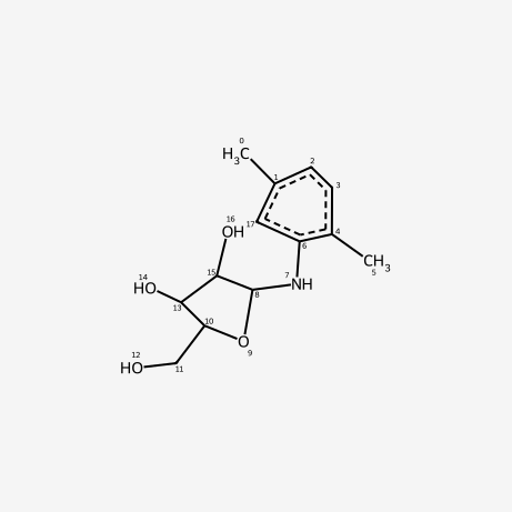 Cc1ccc(C)c(NC2OC(CO)C(O)C2O)c1